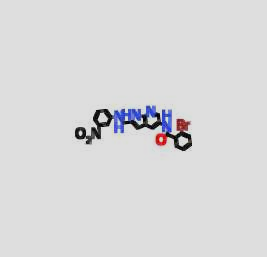 O=C(Nc1cnc2[nH]c(CNc3cccc([N+](=O)[O-])c3)cc2c1)c1ccccc1Br